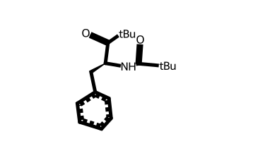 CC(C)(C)C(=O)N[C@@H](Cc1ccccc1)C(=O)C(C)(C)C